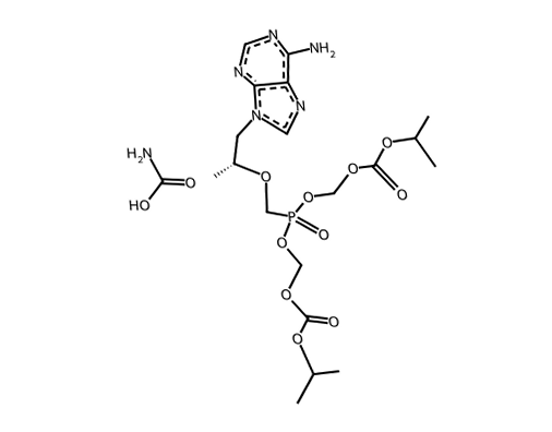 CC(C)OC(=O)OCOP(=O)(CO[C@H](C)Cn1cnc2c(N)ncnc21)OCOC(=O)OC(C)C.NC(=O)O